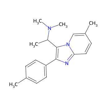 Cc1ccc(-c2nc3ccc(C)cn3c2C(C)N(C)C)cc1